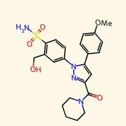 COc1ccc(-c2cc(C(=O)N3CCCCC3)nn2-c2ccc(S(N)(=O)=O)c(CO)c2)cc1